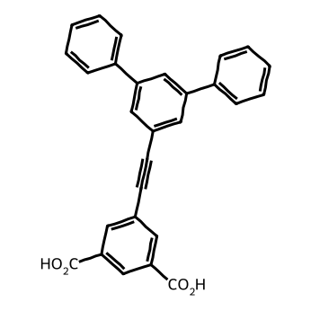 O=C(O)c1cc(C#Cc2cc(-c3ccccc3)cc(-c3ccccc3)c2)cc(C(=O)O)c1